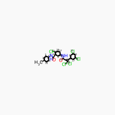 Cc1[c]cc(NC(=O)c2cc(NC(=O)C3C(c4cc(Cl)cc(Cl)c4)C3(Cl)Cl)ccc2Cl)cc1